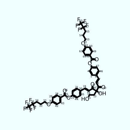 O=C(Oc1ccc(/C=C/C(=O)C(O)(CCO)C(=O)/C=C/c2ccc(OC(=O)c3ccc(OCCCC(F)(F)C(F)(F)F)cc3)cc2)cc1)c1ccc(OCCCC(F)(F)C(F)(F)F)cc1